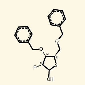 OC1S[C@H](COCc2ccccc2)[C@@H](OCc2ccccc2)[C@H]1F